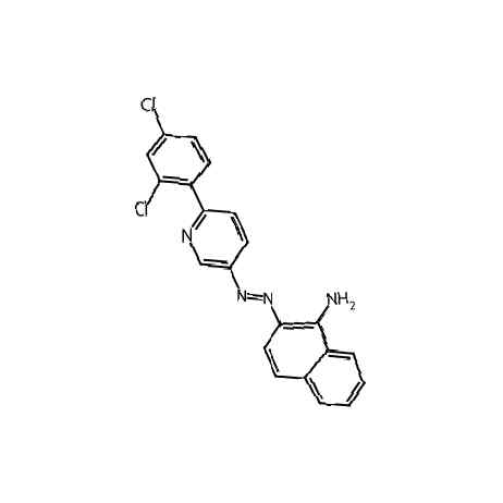 Nc1c(N=Nc2ccc(-c3ccc(Cl)cc3Cl)nc2)ccc2ccccc12